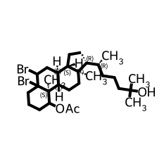 CC(=O)OC1CCCC2(Br)C(Br)C[C@H]3[C@@H]4CC[C@H]([C@H](C)CCCC(C)(C)O)[C@@]4(C)CC[C@@H]3[C@@]12C